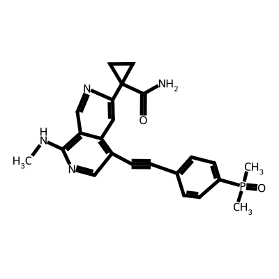 CNc1ncc(C#Cc2ccc(P(C)(C)=O)cc2)c2cc(C3(C(N)=O)CC3)ncc12